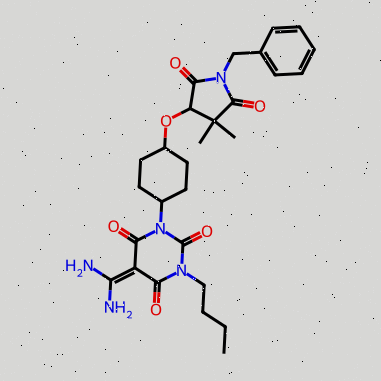 CCCCN1C(=O)C(=C(N)N)C(=O)N(C2CCC(OC3C(=O)N(Cc4ccccc4)C(=O)C3(C)C)CC2)C1=O